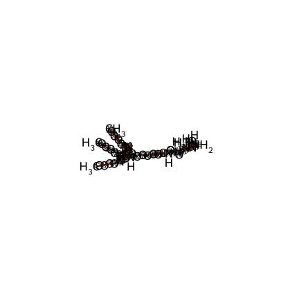 CCOCCOCCOCCOCCn1cc(COCC(COCc2cn(CCOCCOCCOCCOCC)nn2)(COCc2cn(CCOCCOCCOCCOCC)nn2)NC(=O)CCOCCOCCOCCOCCOCCOCCNC(=O)CCCNC(=O)c2ccc(NCc3cnc(NN)c(C(N)=O)n3)cc2)nn1